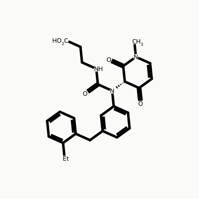 CCc1ccccc1Cc1cccc(N(C(=O)NCCC(=O)O)[C@H]2C(=O)C=CN(C)C2=O)c1